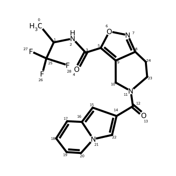 CC(NC(=O)c1onc2c1CN(C(=O)c1cc3ccccn3c1)CC2)C(F)(F)F